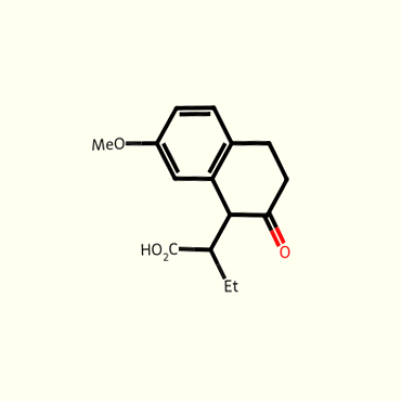 CCC(C(=O)O)C1C(=O)CCc2ccc(OC)cc21